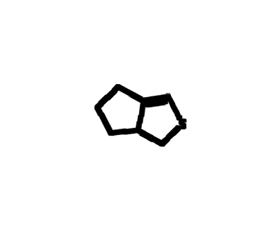 C1=C2CCCC2CS1